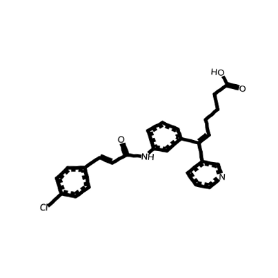 O=C(O)CCCC=C(c1cccnc1)c1cccc(NC(=O)/C=C/c2ccc(Cl)cc2)c1